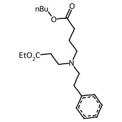 CCCCOC(=O)CCCN(CCC(=O)OCC)CCc1ccccc1